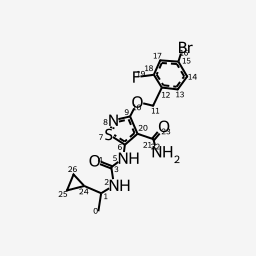 CC(NC(=O)Nc1snc(OCc2ccc(Br)cc2F)c1C(N)=O)C1CC1